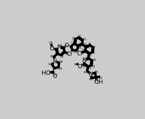 COc1nc(-c2cccc(-c3cccc4c3CC[C@@H]4Oc3nc(OC)c(CN4CC[C@@H](C(=O)O)C4)cc3Cl)c2Cl)ccc1CN1CC(C)(O)C1